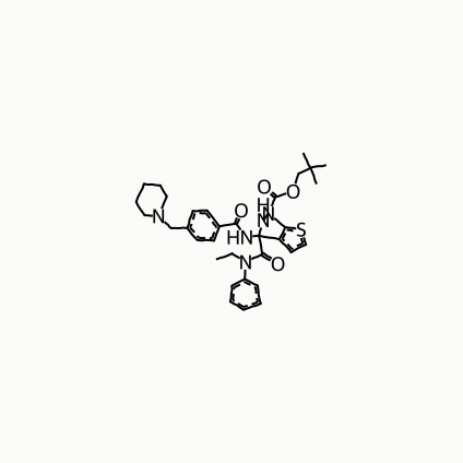 CCN(C(=O)C1(NC(=O)c2ccc(CN3CCCCC3)cc2)NN(C(=O)OCC(C)(C)C)c2sccc21)c1ccccc1